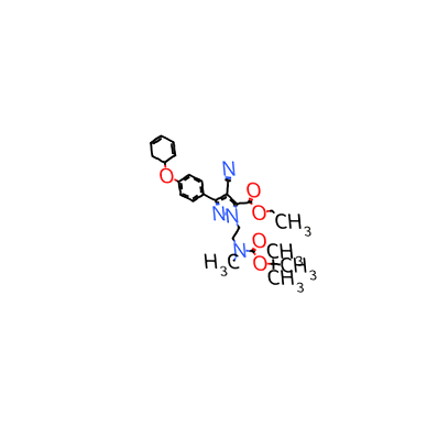 CCOC(=O)c1c(C#N)c(-c2ccc(OC3C=CC=CC3)cc2)nn1CCN(C)C(=O)OC(C)(C)C